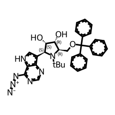 CC(C)(C)N1[C@H](COC(c2ccccc2)(c2ccccc2)c2ccccc2)[C@@H](O)[C@@H](O)[C@@H]1c1c[nH]c2c(N=[N+]=[N-])ncnc12